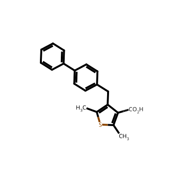 Cc1sc(C)c(C(=O)O)c1Cc1ccc(-c2ccccc2)cc1